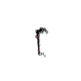 CCCCCCCCCCCCCCCCCCCC(=O)OCCOP(=O)(O)OCC[N+](C)(C)C